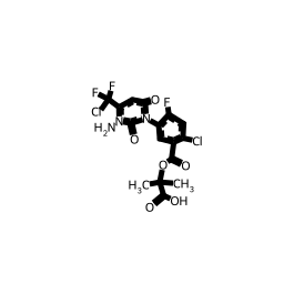 CC(C)(OC(=O)c1cc(-n2c(=O)cc(C(F)(F)Cl)n(N)c2=O)c(F)cc1Cl)C(=O)O